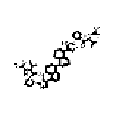 COC(=O)N[C@H](C(=O)N1CCC[C@H]1c1ncc(-c2cccc3c(-c4cccc5c(-c6cnc([C@@H]7CCCN7C(=O)[C@@H](NC(=O)OC)C(C)C)[nH]6)cccc45)cccc23)[nH]1)C(C)C